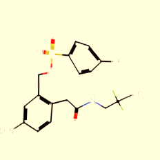 Cc1ccc(S(=O)(=O)OCc2cc([N+](=O)[O-])ccc2CC(=O)NCC(F)(F)C(F)(F)F)cc1